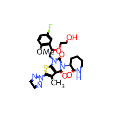 COc1ccc(F)cc1[C@H](Cn1c(=O)n([C@H]2CCCCNC2=O)c(=O)c2c(C)c(-n3nccn3)sc21)OCCO